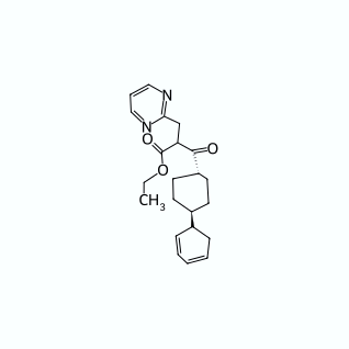 CCOC(=O)C(Cc1ncccn1)C(=O)[C@H]1CC[C@H](C2C=CC=CC2)CC1